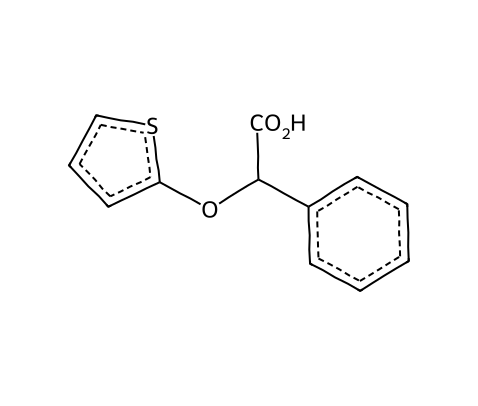 O=C(O)C(Oc1cccs1)c1ccccc1